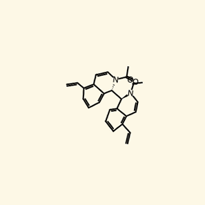 C=Cc1cccc2c1C=CN(C(C)=O)[C@@H]2[C@@H]1c2cccc(C=C)c2C=CN1C(C)=O